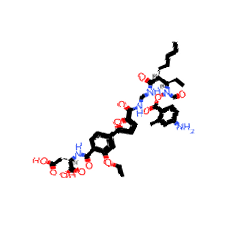 CCCCC[C@@H](C(=O)NCNC(=O)c1ccc(-c2ccc(C(=O)N[C@@H](CC(=O)O)C(=O)O)c(OCC)c2)o1)[C@@H](CC)N(C=O)OC(=O)c1ccc(N)cc1C